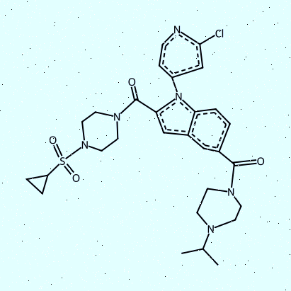 CC(C)N1CCN(C(=O)c2ccc3c(c2)cc(C(=O)N2CCN(S(=O)(=O)C4CC4)CC2)n3-c2ccnc(Cl)c2)CC1